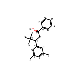 Cc1cc(C)cc(C(CC(=O)c2ccccc2)C(C)(C)C)c1